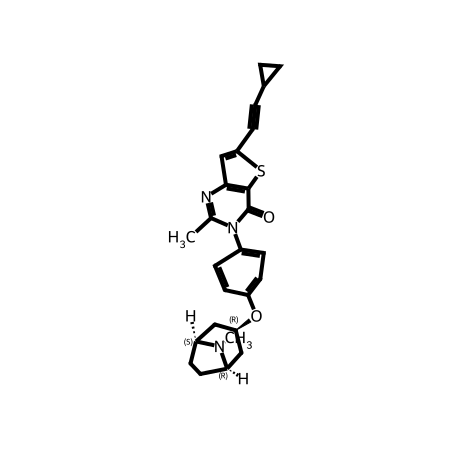 Cc1nc2cc(C#CC3CC3)sc2c(=O)n1-c1ccc(O[C@H]2C[C@H]3CC[C@@H](C2)N3C)cc1